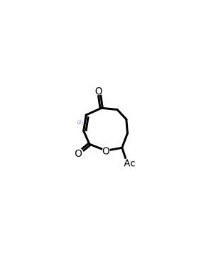 CC(=O)C1CCCC(=O)/C=C\C(=O)O1